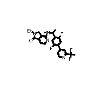 CCN1Cc2c(ccnc2NC(C)c2cc(F)c(-c3ccnc(C(C)(F)F)c3)cc2F)C1=O